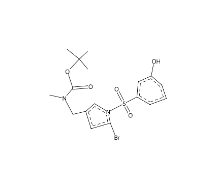 CN(Cc1cc(Br)n(S(=O)(=O)c2cccc(O)c2)c1)C(=O)OC(C)(C)C